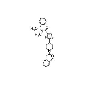 C[C@H](c1ccccc1)N(C)C(=O)c1csc(C2CCN(C(=O)Cc3ccccc3Cl)CC2)n1